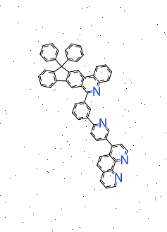 c1ccc(C2(c3ccccc3)c3ccccc3-c3cc4c(-c5cccc(-c6ccc(-c7ccnc8c7ccc7cccnc78)cn6)c5)nc5ccccc5c4cc32)cc1